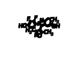 CCc1nn(-c2ccc(O)c(F)c2F)c(-c2c(C)noc2C)c1/C=N/O